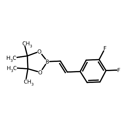 CC1(C)OB(C=Cc2ccc(F)c(F)c2)OC1(C)C